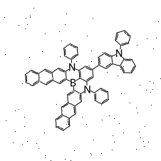 c1ccc(N2c3cc4cc5ccccc5cc4cc3B3c4cc5cc6ccccc6cc5cc4N(c4ccccc4)c4cc(-c5ccc6c(c5)c5ccccc5n6-c5ccccc5)cc2c43)cc1